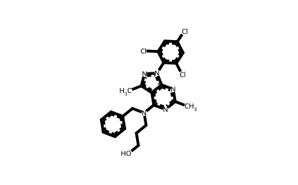 Cc1nc(N(CCCO)Cc2ccccc2)c2c(C)nn(-c3c(Cl)cc(Cl)cc3Cl)c2n1